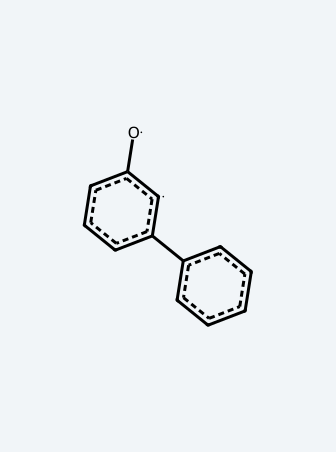 [O]c1[c]c(-c2ccccc2)ccc1